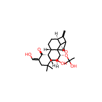 C=C1C2C(=O)C34[C@H]2[C@H]1CC[C@H]3[C@@]12CO[C@@]4(OC(C)(C)O)[C@@H](O)[C@@H]1C(C)(C)C/C(=C/O)C2=O